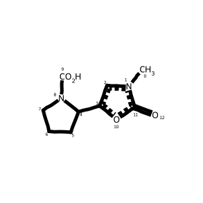 Cn1cc(C2CCCN2C(=O)O)oc1=O